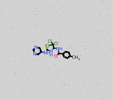 Cc1ccc(C(=O)NC(NC(=S)Nc2cncnc2)C(Cl)(Cl)Cl)cc1